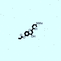 C=CC(=O)Oc1ccc2c(c1)C(O)C=C(C(/C=C\C(C)NC)CC)O2